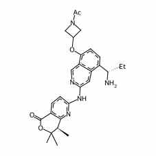 CC[C@H](N)c1ccc(OC2CN(C(C)=O)C2)c2cnc(Nc3ccc4c(n3)[C@@H](C)C(C)(C)OC4=O)cc12